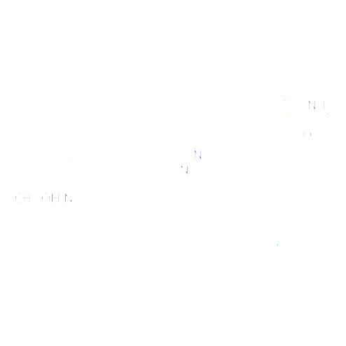 CC(C#Cn1cc(-c2ccc(Cl)cc2)c(-c2ccc(S(N)(=O)=O)cc2)n1)SC(=S)N(C)O